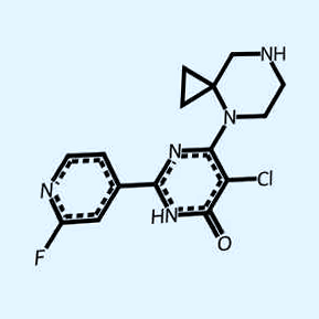 O=c1[nH]c(-c2ccnc(F)c2)nc(N2CCNCC23CC3)c1Cl